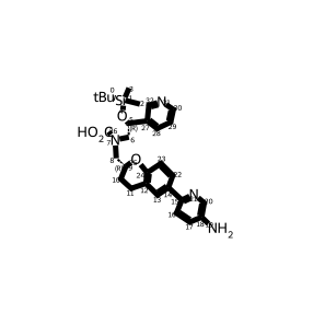 CC(C)(C)[Si](C)(C)O[C@@H](CN(C[C@H]1CCc2cc(-c3ccc(N)cn3)ccc2O1)C(=O)O)c1cccnc1